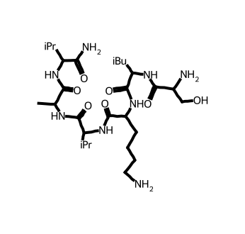 CCC(C)C(NC(=O)C(N)CO)C(=O)NC(CCCCN)C(=O)NC(C(=O)NC(C)C(=O)NC(C(N)=O)C(C)C)C(C)C